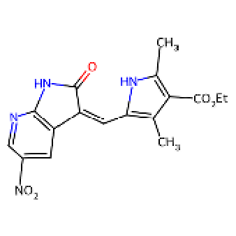 CCOC(=O)c1c(C)[nH]c(C=C2C(=O)Nc3ncc([N+](=O)[O-])cc32)c1C